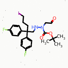 CC(C)(C)OC(=O)N(CC=O)NCC(CCCI)(c1ccc(F)cc1)c1ccc(F)cc1